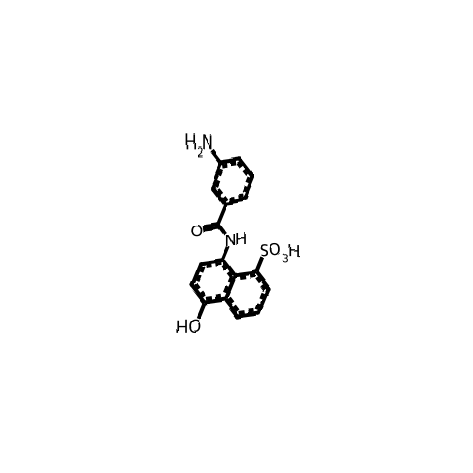 Nc1cccc(C(=O)Nc2ccc(O)c3cccc(S(=O)(=O)O)c23)c1